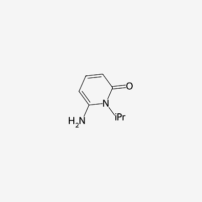 CC(C)n1c(N)cccc1=O